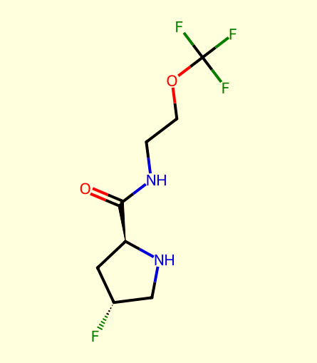 O=C(NCCOC(F)(F)F)[C@@H]1C[C@@H](F)CN1